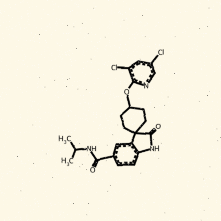 CC(C)NC(=O)c1ccc2c(c1)C1(CCC(Oc3ncc(Cl)cc3Cl)CC1)C(=O)N2